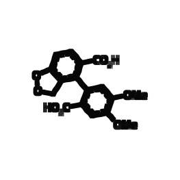 COc1cc(C(=O)O)c(-c2c(C(=O)O)ccc3c2COO3)cc1OC